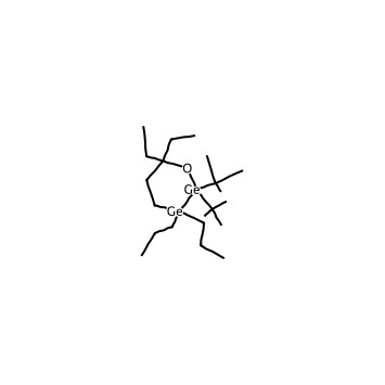 CC[CH2][Ge]1([CH2]CC)[CH2]CC(CC)(CC)[O][Ge]1([C](C)(C)C)[C](C)(C)C